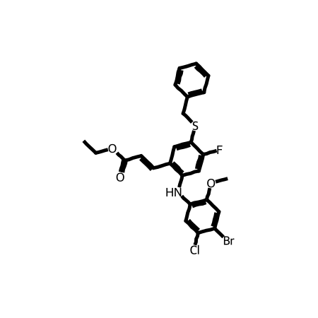 CCOC(=O)/C=C/c1cc(SCc2ccccc2)c(F)cc1Nc1cc(Cl)c(Br)cc1OC